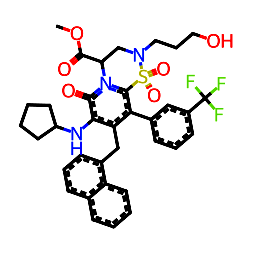 COC(=O)C1CN(CCCO)S(=O)(=O)c2c(-c3cccc(C(F)(F)F)c3)c(Cc3cccc4ccccc34)c(NC3CCCC3)c(=O)n21